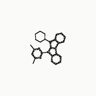 Cc1cc(C)nc(-n2c3ccccc3c3c4ccccc4n(C4CCCCC4)c32)n1